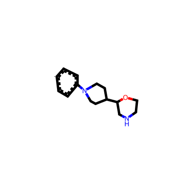 [c]1ccc(N2CCC(C3CNCCO3)CC2)cc1